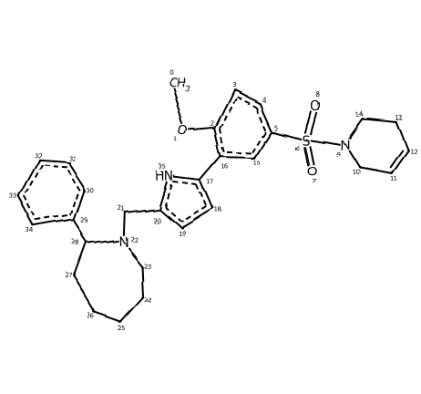 COc1ccc(S(=O)(=O)N2CC=CCC2)cc1-c1ccc(CN2CCCCCC2c2ccccc2)[nH]1